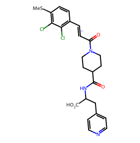 CSc1ccc(/C=C/C(=O)N2CCC(C(=O)NC(Cc3ccncc3)C(=O)O)CC2)c(Cl)c1Cl